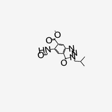 COC(=O)c1cc2nnn(CC(C)C)c(=O)c2cc1NC=O